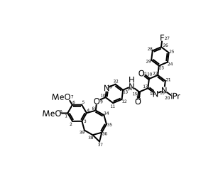 COc1cc2c(cc1OC)/C(Oc1ccc(NC(=O)c3nn(C(C)C)cc(-c4ccc(F)cc4)c3=O)cn1)=C\C=C1\CC1C2